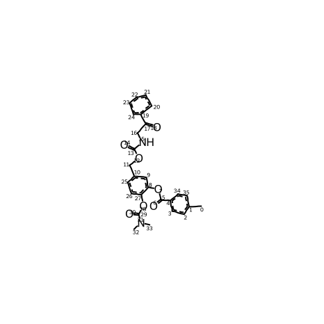 Cc1ccc(C(=O)Oc2cc(COC(=O)NCC(=O)c3ccccc3)ccc2OC(=O)N(C)C)cc1